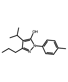 CCCc1nn(-c2ccc(C)cc2)c(O)c1C(C)C